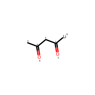 [Li][C](=O)CC(C)=O